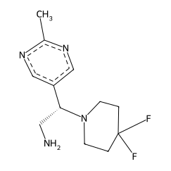 Cc1ncc([C@@H](CN)N2CCC(F)(F)CC2)cn1